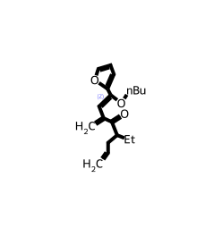 C=CCC(CC)C(=O)C(=C)/C=C(\OCCCC)c1ccco1